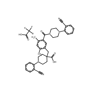 Cc1cc(C)c(C(=O)N2CCN(c3ccccc3C#N)CC2)cc1CC1(C(=O)O)CCN(c2ccccc2C#N)CC1.O=C(O)C(F)(F)F